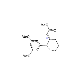 COC(=O)/C=C1\CCCCC1c1cc(OC)cc(OC)c1